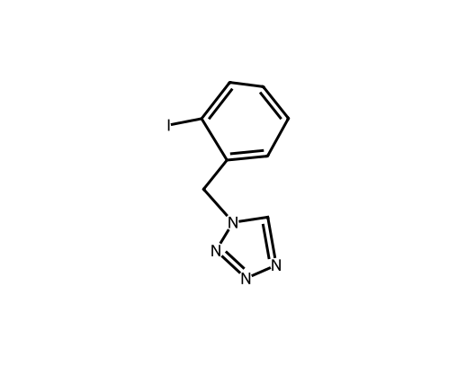 Ic1ccccc1Cn1cnnn1